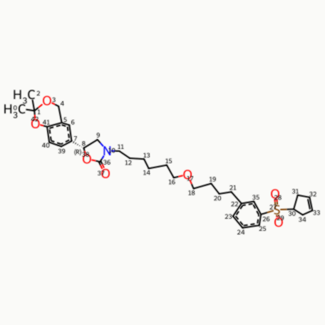 CC1(C)OCc2cc([C@@H]3CN(CCCCCCOCCCCc4cccc(S(=O)(=O)C5CC=CC5)c4)C(=O)O3)ccc2O1